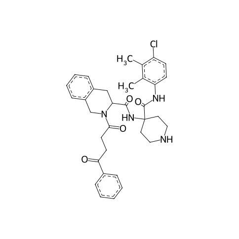 Cc1c(Cl)ccc(NC(=O)C2(NC(=O)C3Cc4ccccc4CN3C(=O)CCC(=O)c3ccccc3)CCNCC2)c1C